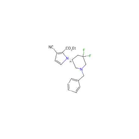 CCOC(=O)c1c(C#N)ccn1[C@H]1CN(Cc2ccccc2)CC(F)(F)C1